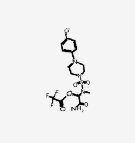 CN(C(OC(=O)C(F)(F)F)C(N)=O)S(=O)(=O)N1CCN(c2ccc(Cl)cc2)CC1